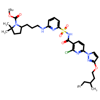 CC(C)CC(C)CCOc1ccn(-c2ccc(C(=O)NS(=O)(=O)c3cccc(NCCCC4CCC(C)(C)N4C(=O)OC(C)(C)C)n3)c(Cl)n2)n1